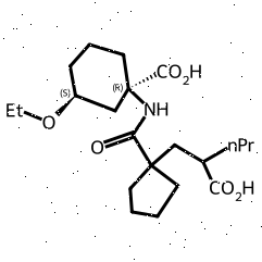 CCCC(CC1(C(=O)N[C@]2(C(=O)O)CCC[C@H](OCC)C2)CCCC1)C(=O)O